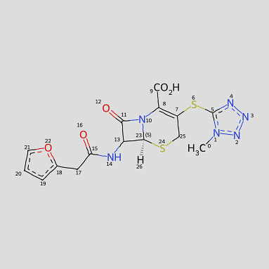 Cn1nnnc1SC1=C(C(=O)O)N2C(=O)C(NC(=O)Cc3ccco3)[C@@H]2SC1